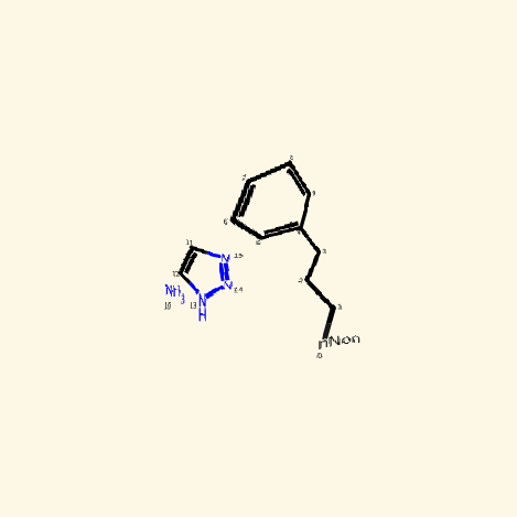 CCCCCCCCCCCCc1ccccc1.N.c1c[nH]nn1